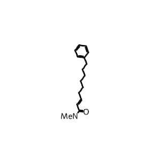 CNC(=O)/C=C/CCCCCCc1ccccc1